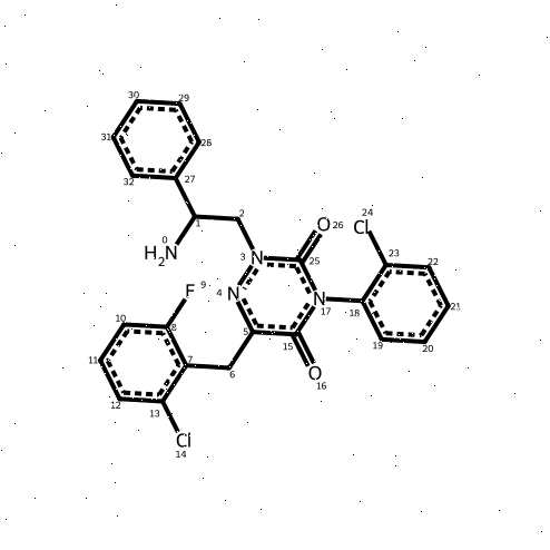 NC(Cn1nc(Cc2c(F)cccc2Cl)c(=O)n(-c2ccccc2Cl)c1=O)c1ccccc1